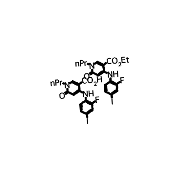 CCCn1cc(C(=O)O)c(Nc2ccc(I)cc2F)cc1=O.CCCn1cc(C(=O)OCC)c(Nc2ccc(I)cc2F)cc1=O